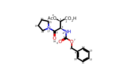 CC(=O)O[C@@H](C(=O)O)[C@@H](NC(=O)OCc1ccccc1)C(=O)N1CCCC1